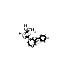 CC(C)(C)OC(=O)N1CCOCC(O)(Cc2ccccc2)C1